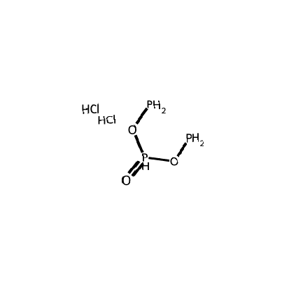 Cl.Cl.O=[PH](OP)OP